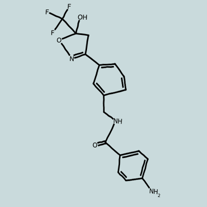 Nc1ccc(C(=O)NCc2cccc(C3=NOC(O)(C(F)(F)F)C3)c2)cc1